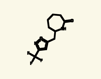 O=C1CCCCC(Cc2cc(C(F)(F)F)no2)N1